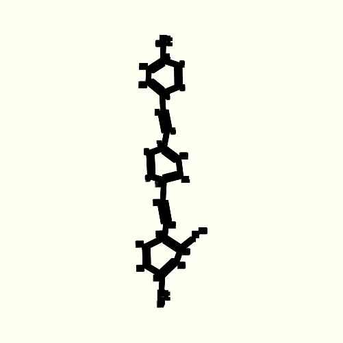 CCc1ccc(C#Cc2ccc(C#Cc3ccc(CC)cc3F)cc2)cc1